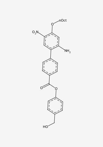 CCCCCCCCOc1cc(N)c(-c2ccc(C(=O)Oc3ccc(CO)cc3)cc2)cc1[N+](=O)[O-]